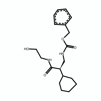 O=C(NC[C@H](C(=O)NCCO)C1CCCCC1)OCc1ccccc1